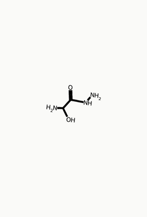 NNC(=O)C(N)O